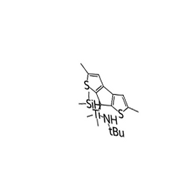 Cc1cc2c(s1)[CH]([Ti]([CH3])([CH3])([NH]C(C)(C)C)[SiH](C)C)c1sc(C)cc1-2